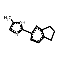 Cc1cnc(-c2ccc3c(c2)CCC3)[nH]1